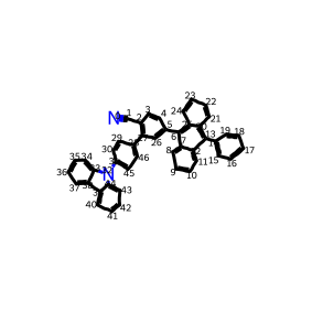 N#Cc1ccc(-c2c3ccccc3c(-c3ccccc3)c3ccccc23)cc1-c1ccc(-n2c3ccccc3c3ccccc32)cc1